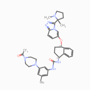 CN1CCCC1(C)c1nnc2ccc(O[C@@H]3CC[C@H](NC(=O)Nc4cc(N5CCN(C(=O)C(F)(F)F)CC5)cc(C(C)(C)C)c4)c4ccccc43)cn12